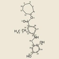 C.C.O=C(O[C]1CCCCCCC1)c1ccc(NCc2cc(O)ccc2O)cc1